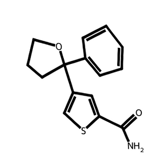 NC(=O)c1cc(C2(c3ccccc3)CCCO2)cs1